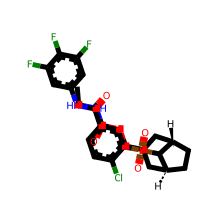 CCNC(=O)OCC1C[C@@H]2CC[C@@H](C1)C2S(=O)(=O)c1cc(C(=O)Nc2cc(F)c(F)c(F)c2)ccc1Cl